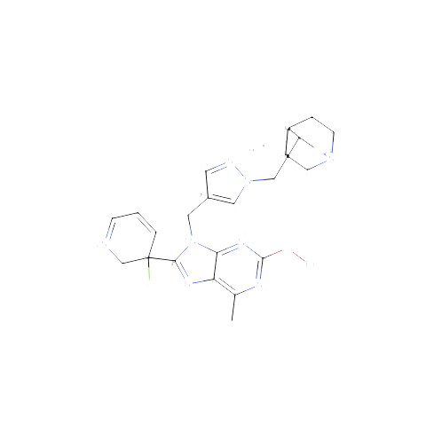 CCOc1nc(C)c2nc(C3(F)C=CC=NC3)n(Cc3cnn(C[C@@H]4CN5CCC4CC5)c3)c2n1